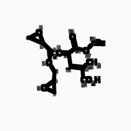 C(OCC1CO1)C1CO1.C=C(C=C(C)C(=O)O)C(=O)OCCCC